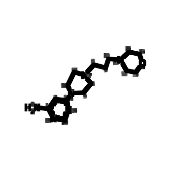 Nc1cc(N2CCN(CCCN3CCOCC3)CC2)ncn1